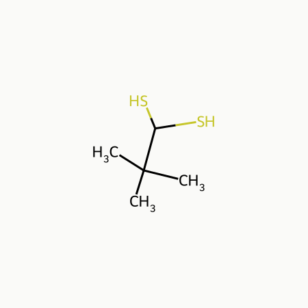 CC(C)(C)C(S)S